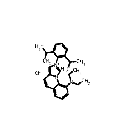 CCN(CC)c1cccc2ccc3c[n+](-c4c(C(C)C)cccc4C(C)C)cn3c12.[Cl-]